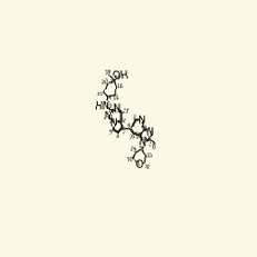 Cc1nc2ncc(-c3ccn4nc(NC5CCC(C)(O)CC5)ncc34)cc2n1C1CCOCC1